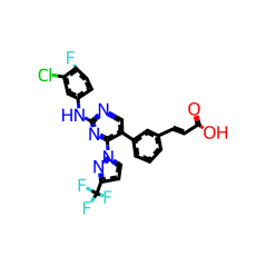 O=C(O)C=Cc1cccc(-c2cnc(Nc3ccc(F)c(Cl)c3)nc2-n2ccc(C(F)(F)F)n2)c1